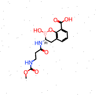 COC(=O)NCCC(=O)N[C@H]1Cc2cccc(C(=O)O)c2OB1O